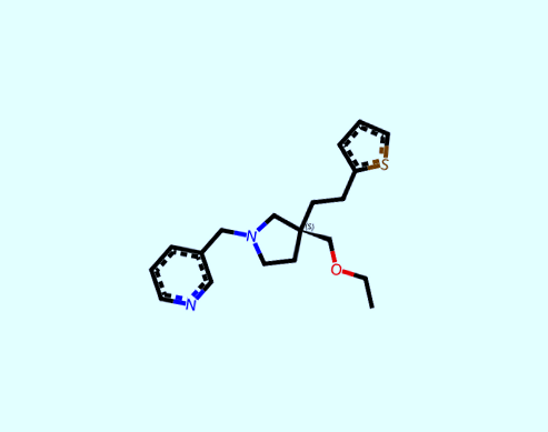 CCOC[C@@]1(CCc2cccs2)CCN(Cc2cccnc2)C1